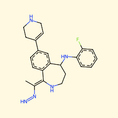 C/C(N=N)=C1/NCCC(Nc2ccccc2F)c2cc(C3=CCNCC3)ccc21